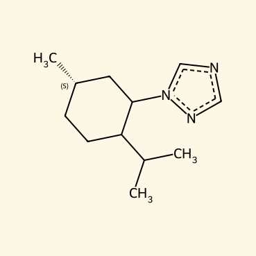 CC(C)C1CC[C@H](C)CC1n1cncn1